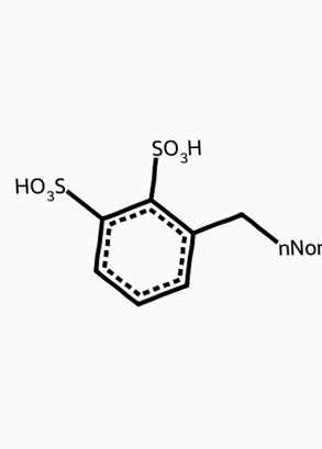 CCCCCCCCCCc1cccc(S(=O)(=O)O)c1S(=O)(=O)O